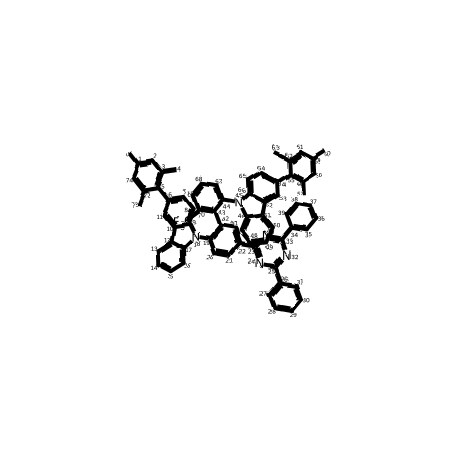 Cc1cc(C)c(-c2ccc3c(c2)c2ccccc2n3-c2ccc(-c3nc(-c4ccccc4)nc(-c4ccccc4)n3)cc2-c2c(-n3c4ccccc4c4cc(-c5c(C)cc(C)cc5C)ccc43)cccc2C(F)(F)F)c(C)c1